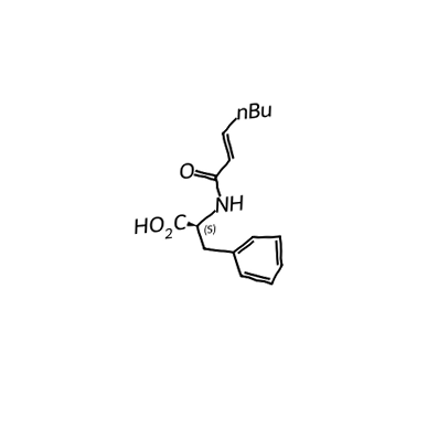 CCCCC=CC(=O)N[C@@H](Cc1ccccc1)C(=O)O